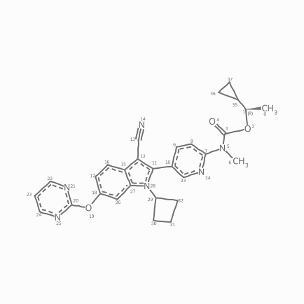 C[C@@H](OC(=O)N(C)c1ccc(-c2c(C#N)c3ccc(Oc4ncccn4)cc3n2C2CCC2)cn1)C1CC1